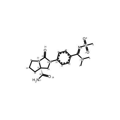 CN(C)C(=NS(C)(=O)=O)c1ccc(N2C[C@@]3(C(N)=O)[CH]CCN3C2=O)cc1